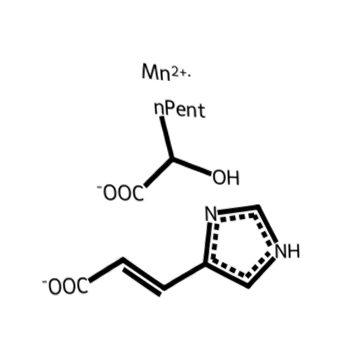 CCCCCC(O)C(=O)[O-].O=C([O-])C=Cc1c[nH]cn1.[Mn+2]